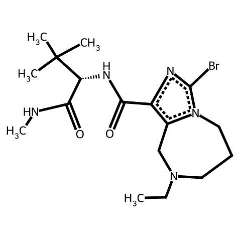 CCN1CCCn2c(Br)nc(C(=O)N[C@H](C(=O)NC)C(C)(C)C)c2C1